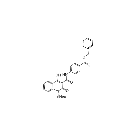 CCCCCCn1c(=O)c(C(=O)Nc2ccc(C(=O)OCc3ccccc3)cc2)c(O)c2ccccc21